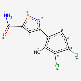 N#Cc1c(-c2cc(C(N)=O)sn2)ccc(Cl)c1Cl